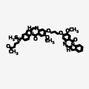 COc1cc2c(cc1OCCCOc1cc3c(cc1OC)C(=O)N1c4ccc(N(C)CCCC(C)=O)cc4C[C@H]1C=N3)N=C[C@@H]1Cc3ccccc3N1C2=O